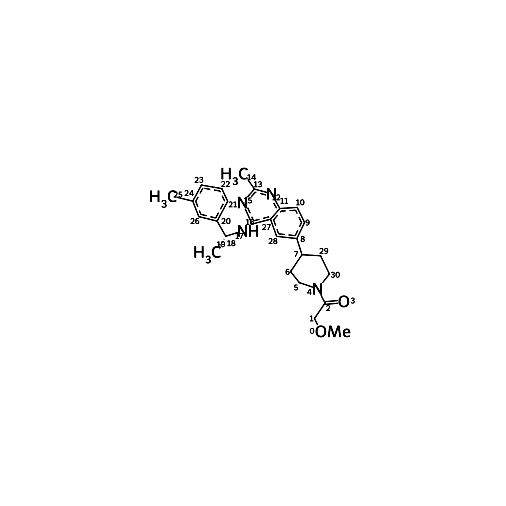 COCC(=O)N1CCC(c2ccc3nc(C)nc(N[C@H](C)c4cccc(C)c4)c3c2)CC1